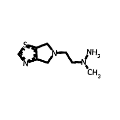 CN(N)CCN1Cc2ncsc2C1